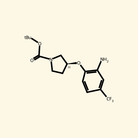 CC(C)(C)OC(=O)N1CC[C@H](Oc2ccc(C(F)(F)F)cc2N)C1